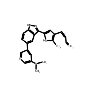 C=C/C=C\c1cc(-c2n[nH]c3ccc(-c4cncc(N(C)C)c4)cc23)[nH]c1C